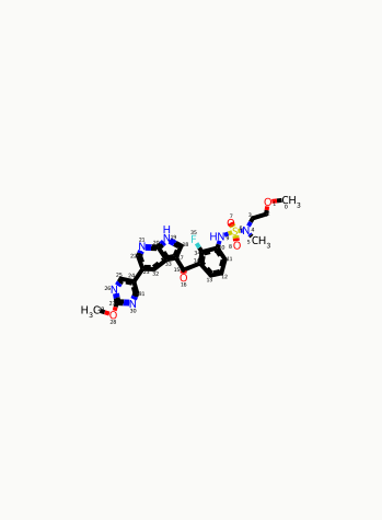 COCCN(C)S(=O)(=O)Nc1cccc(C(=O)c2c[nH]c3ncc(-c4cnc(OC)nc4)cc23)c1F